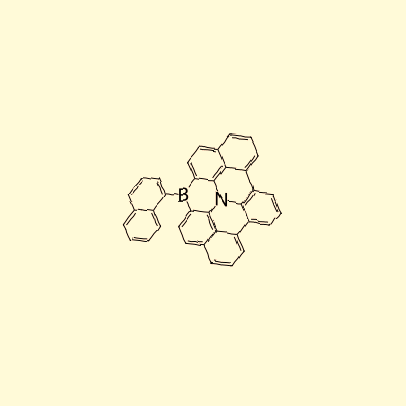 c1cc2c3c(c1)-c1cccc4ccc5c(c14)N3c1c(ccc3cccc-2c13)B5c1cccc2ccccc12